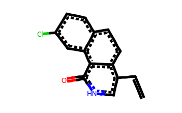 C=Cc1c[nH]c(=O)c2c1ccc1ccc(Cl)cc12